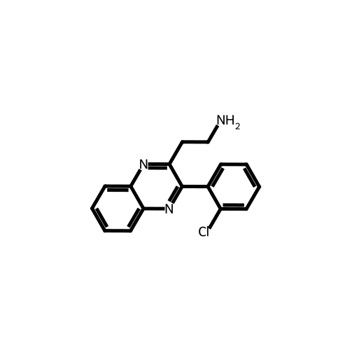 NCCc1nc2ccccc2nc1-c1ccccc1Cl